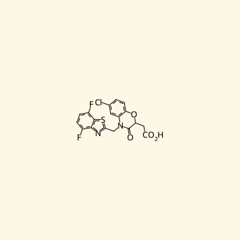 O=C(O)CC1Oc2ccc(Cl)cc2N(Cc2nc3c(F)ccc(F)c3s2)C1=O